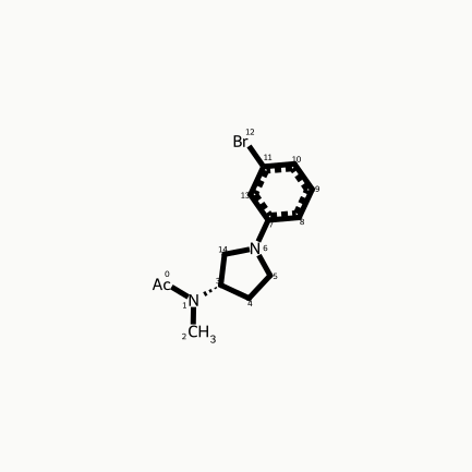 CC(=O)N(C)[C@H]1CCN(c2cccc(Br)c2)C1